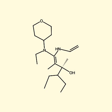 C=CN/C(=C(/C)[C@@](C)(O)C(CC)CC)N(CC)C1CCOCC1